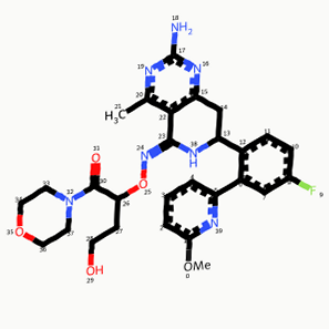 COc1cccc(-c2cc(F)ccc2C2Cc3nc(N)nc(C)c3C(=NOC(CCO)C(=O)N3CCOCC3)N2)n1